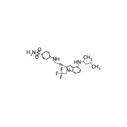 CCCC(C)Nc1cccc2c1cc(C#CCNc1ccc(S(N)(=O)=O)cc1)n2CC(F)(F)F